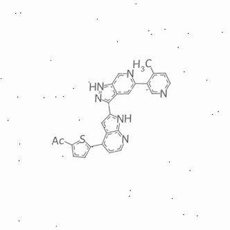 CC(=O)c1ccc(-c2ccnc3[nH]c(-c4n[nH]c5cnc(-c6cnccc6C)cc45)cc23)s1